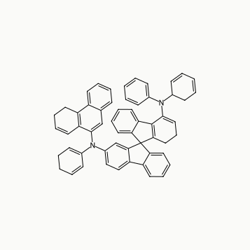 C1=CCC(N(C2=CCCC3=C2c2ccccc2C32c3ccccc3-c3ccc(N(C4=CCCC=C4)c4cc5ccccc5c5c4C=CCC5)cc32)c2ccccc2)C=C1